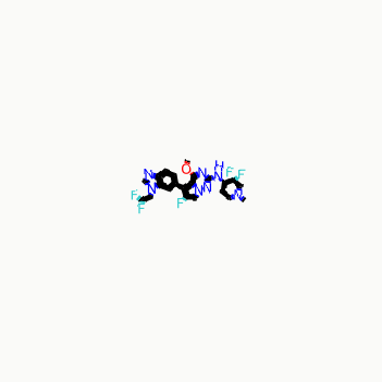 COc1nc(N[C@@H]2CCN(C)CC2(F)F)nn2cc(F)c(-c3ccc4ncn(CC(F)F)c4c3)c12